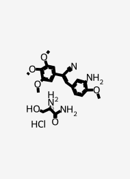 COc1ccc(C=C(C#N)c2cc(OC)c(OC)c(OC)c2)cc1N.Cl.NC(=O)[C@@H](N)CO